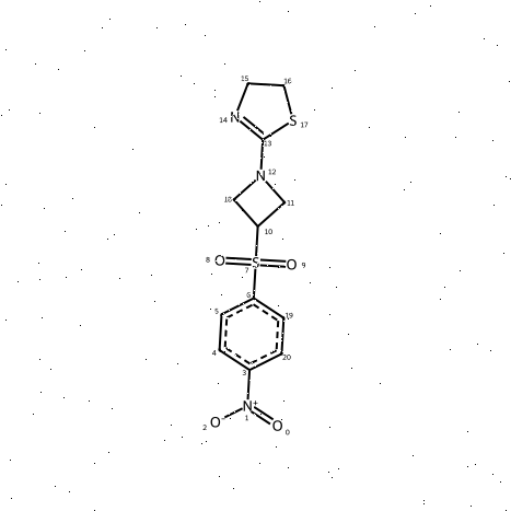 O=[N+]([O-])c1ccc(S(=O)(=O)C2CN(C3=NCCS3)C2)cc1